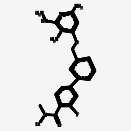 CCN(C)C(=O)c1ccc(-c2cccc(COc3cc(N)nc(NN)c3N)c2)cc1F